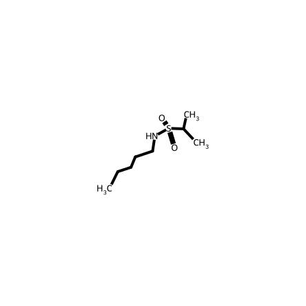 CCCCCNS(=O)(=O)C(C)C